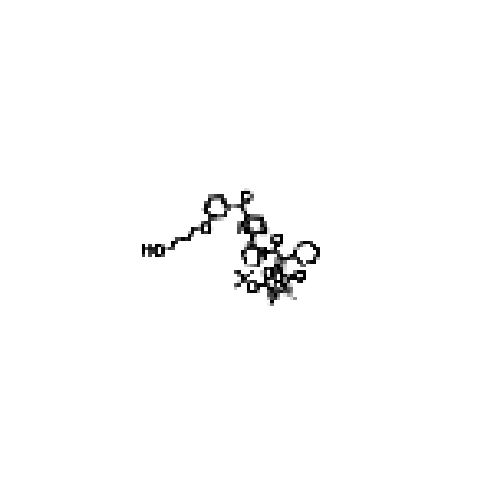 C[C@@H](C(=O)N[C@H](C(=O)N1CCC[C@H]1c1nc(C(=O)c2cccc(OCCCCO)c2)cs1)C1CCCCC1)N(C)C(=O)OC(C)(C)C